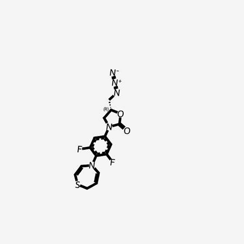 [N-]=[N+]=NC[C@H]1CN(c2cc(F)c(N3C=CCSC=C3)c(F)c2)C(=O)O1